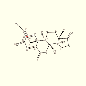 C=C1C[C@H]2[C@@H]3CCC(=O)[C@@]3(C)CC[C@@H]2[C@@]2(CC#CF)C=CC(=O)C=C12